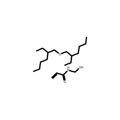 C=CC(=O)NCO.CCCCC(CC)COCC(CC)CCCC